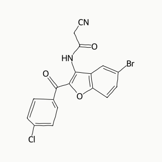 N#CCC(=O)Nc1c(C(=O)c2ccc(Cl)cc2)oc2ccc(Br)cc12